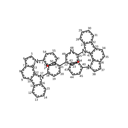 c1ccc(-n2ccc3ccc4c5ccccc5n(-c5ccc(-c6ccc(-n7c8ccccc8c8ccc9ccn(-c%10ccccc%10)c9c87)nc6)cn5)c4c32)cc1